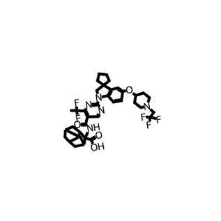 CC(F)(F)c1nc(N2CC3(CCCC3)c3cc(OC4CCN(CC(F)(F)F)CC4)ccc32)ncc1C(=O)NC1(C(=O)O)C2CC3CC(C2)CC1C3